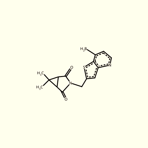 Bc1ccnc2cc(CN3C(=O)C4C(C3=O)C4(C)C)sc12